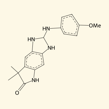 COc1ccc(NC2Nc3cc4c(cc3N2)C(C)(C)C(=O)N4)cc1